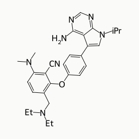 CCN(CC)Cc1ccc(N(C)C)c(C#N)c1Oc1ccc(-c2cn(C(C)C)c3ncnc(N)c23)cc1